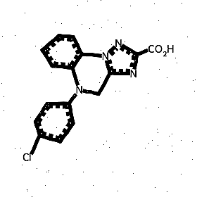 O=C(O)c1nc2n(n1)-c1ccccc1N(c1ccc(Cl)cc1)C2